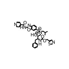 CC(C)CN(CC(O)C(Cc1ccccc1)NC(=O)OCc1cncs1)S(=O)(=O)c1ccc2nc(NC(=O)c3ccncc3)oc2c1